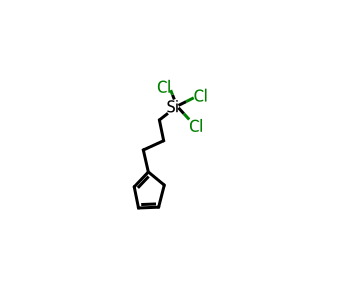 Cl[Si](Cl)(Cl)CCCC1=CC=CC1